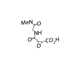 CNC(=O)CNC(=O)C1OC1C(=O)O